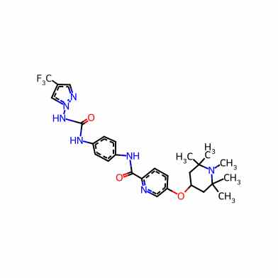 CN1C(C)(C)CC(Oc2ccc(C(=O)Nc3ccc(NC(=O)Nn4cc(C(F)(F)F)cn4)cc3)nc2)CC1(C)C